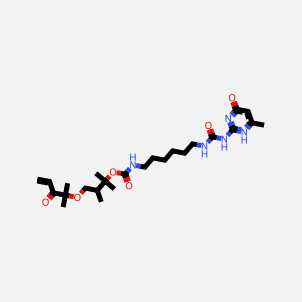 C=CC(=O)C(C)(C)OCC(C)C(C)(C)OC(=O)NCCCCCCNC(=O)Nc1nc(=O)cc(C)[nH]1